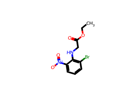 CCOC(=O)CNc1c(Br)cccc1[N+](=O)[O-]